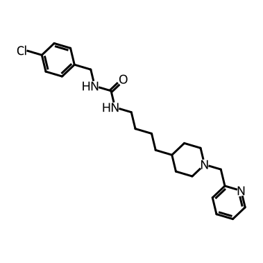 O=C(NCCCCC1CCN(Cc2ccccn2)CC1)NCc1ccc(Cl)cc1